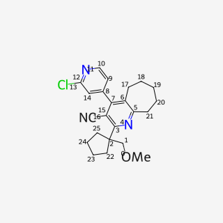 COCC1(c2nc3c(c(-c4ccnc(Cl)c4)c2C#N)CCCCC3)CCCC1